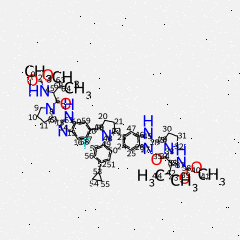 COC(=O)NC(C(=O)N1CCC[C@H]1c1nc2ccc([C@H]3CC[C@H](c4ccc5nc([C@@H]6CCCN6C(=O)[C@@H](NC(=O)OC)C(C)C)[nH]c5c4)N3c3ccc(C4CC4)cc3F)cc2[nH]1)C(C)C